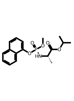 CO[P@@](=O)(N[C@@H](C)C(=O)OC(C)C)Oc1cccc2ccccc12